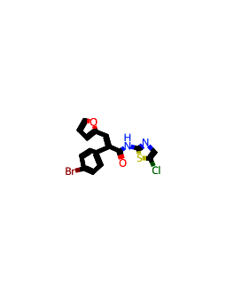 O=C(Nc1ncc(Cl)s1)/C(=C/c1ccco1)c1ccc(Br)cc1